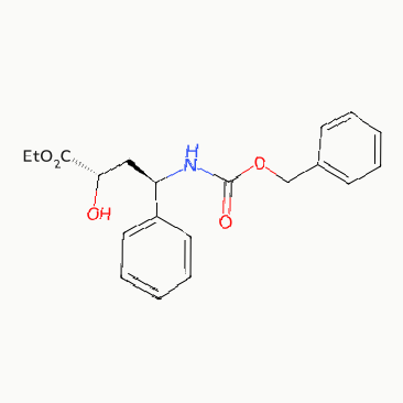 CCOC(=O)[C@@H](O)C[C@@H](NC(=O)OCc1ccccc1)c1ccccc1